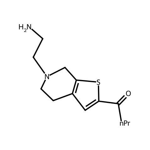 CCCC(=O)c1cc2c(s1)CN(CCN)CC2